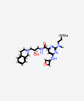 CNCCN(C)c1nc(NC2COC2)cc(C(=O)NC[C@H](O)CN2CCc3ccccc3C2)n1